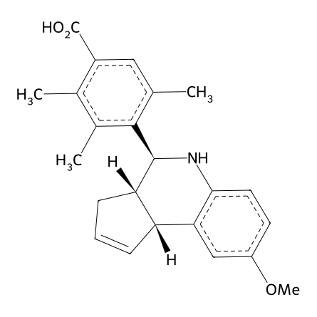 COc1ccc2c(c1)[C@@H]1C=CC[C@@H]1[C@@H](c1c(C)cc(C(=O)O)c(C)c1C)N2